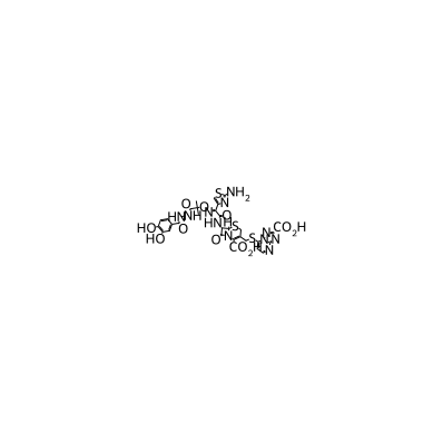 CC(C)(ON=C(C(=O)NC1C(=O)N2C(C(=O)O)=C(CSc3ccnc4nc(C(=O)O)nn34)CS[C@@H]12)c1csc(N)n1)C(=O)NNC(=O)c1ccc(O)c(O)c1